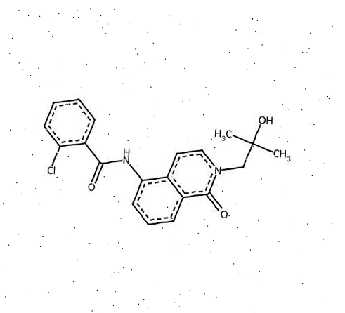 CC(C)(O)Cn1ccc2c(NC(=O)c3ccccc3Cl)cccc2c1=O